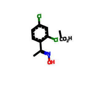 CC(=NO)c1ccc(Cl)cc1Cl.CC(=O)O